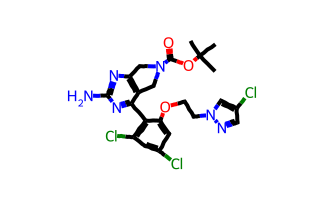 CC(C)(C)OC(=O)N1Cc2nc(N)nc(-c3c(Cl)cc(Cl)cc3OCCn3cc(Cl)cn3)c2C1